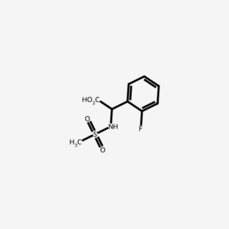 CS(=O)(=O)NC(C(=O)O)c1ccccc1F